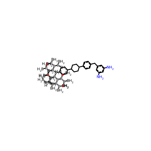 BBB(B)B(B(B)B)B(B(B(B(B)B)B(B)B)B(B(B)B)B(B)B)B(B(B(B(B)B)B(B)B)B(B(B)B)B(B)B)C1CCC(C2CCC(c3ccc(Cc4cc(N)cc(N)c4)cc3)CC2)CC1